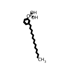 CCCCCCCCCCCCCCCc1cccc(OP(O)O)c1